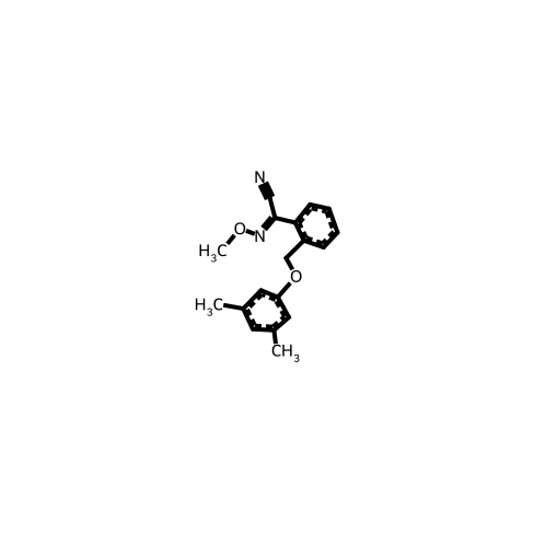 CON=C(C#N)c1ccccc1COc1cc(C)cc(C)c1